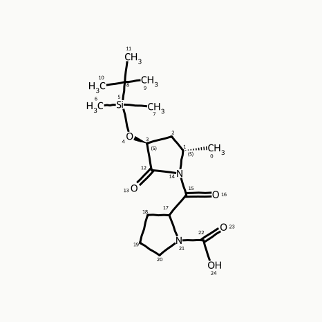 C[C@H]1C[C@H](O[Si](C)(C)C(C)(C)C)C(=O)N1C(=O)C1CCCN1C(=O)O